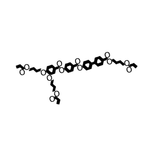 C=CC(=O)OCCCCOC(=O)c1ccc(-c2ccc(OC(=O)c3ccc(OC(=O)c4ccc(OCCCCOC(=O)C=C)c(OCCCCOC(=O)C=C)c4)cc3)cc2)cc1